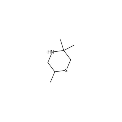 CC1CNC(C)(C)CS1